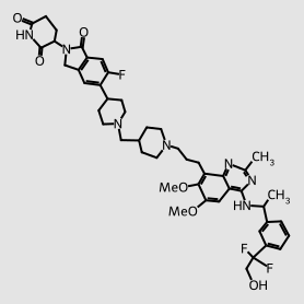 COc1cc2c(NC(C)c3cccc(C(F)(F)CO)c3)nc(C)nc2c(CCCN2CCC(CN3CCC(c4cc5c(cc4F)C(=O)N(C4CCC(=O)NC4=O)C5)CC3)CC2)c1OC